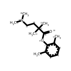 Cc1cccc(C)c1OC(=O)C(C)(C)CCN(C)C